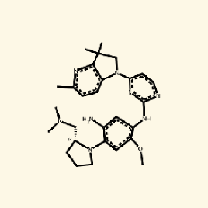 COc1cc(N2CCC[C@@H]2CN(C)C)c(N)cc1Nc1nccc(N2CC(C)(C)c3nc(C)ccc32)n1